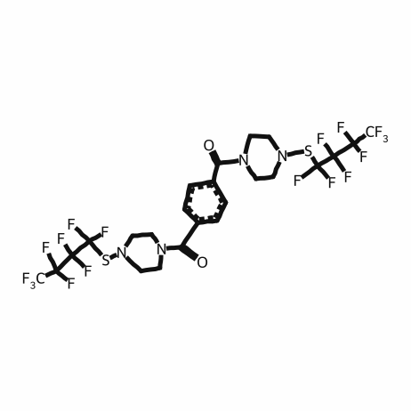 O=C(c1ccc(C(=O)N2CCN(SC(F)(F)C(F)(F)C(F)(F)C(F)(F)F)CC2)cc1)N1CCN(SC(F)(F)C(F)(F)C(F)(F)C(F)(F)F)CC1